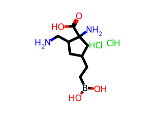 Cl.Cl.NCC1CC(CCB(O)O)CC1(N)C(=O)O